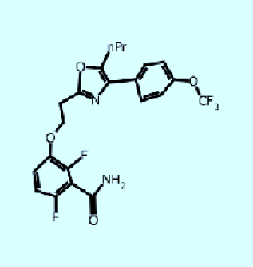 CCCc1oc(CCOc2ccc(F)c(C(N)=O)c2F)nc1-c1ccc(OC(F)(F)F)cc1